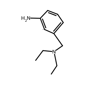 CCN(CC)Cc1[c]c(N)ccc1